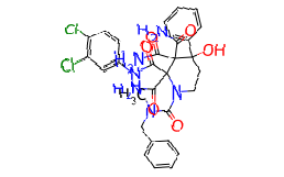 CN(Cc1ccccc1)C(=O)N1CCC(O)(c2ccccc2)C(C(N)=O)(C(N)=O)C1(C(N)=O)C(=O)Nc1ccc(Cl)c(Cl)c1